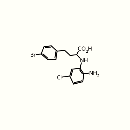 Nc1ccc(Cl)cc1NC(CCc1ccc(Br)cc1)C(=O)O